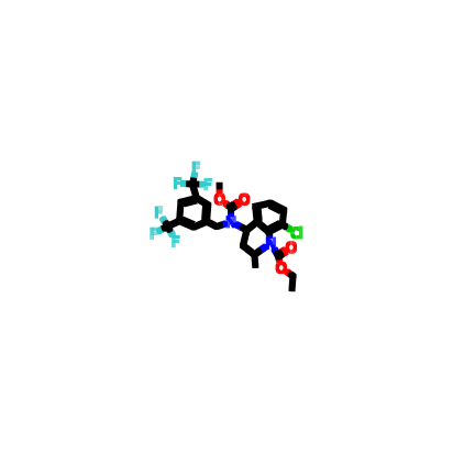 CCOC(=O)N1c2c(Cl)cccc2C(N(Cc2cc(C(F)(F)F)cc(C(F)(F)F)c2)C(=O)OC)CC1C